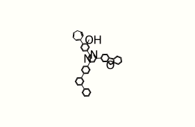 Oc1cc(-c2nc(-c3ccc(-c4cccc(-c5ccccc5)c4)cc3)cc(-c3ccc4c(c3)oc3ccccc34)n2)ccc1C1=CC=CCC#C1